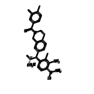 CCN(N)c1ccc(C(c2ccc3c(c2)CN(C(=O)c2ccc(C)c(C)c2)CC3)[C@@H](C)C(=O)O)c(C)c1N